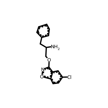 NC(COc1noc2ccc(Cl)cc12)Cc1ccccc1